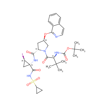 CC(C)(C)OC(=O)N[C@H](C(=O)N1C[C@H](Oc2nccc3ccccc23)C[C@H]1C(=O)N[C@]1(C(=O)NS(=O)(=O)C2CC2)C[C@H]1I)C(C)(C)C